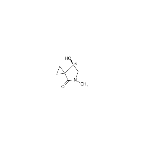 CN1C[C@H](O)C2(CC2)C1=O